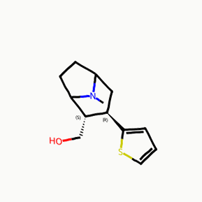 CN1C2CCC1[C@@H](CO)[C@H](c1cccs1)C2